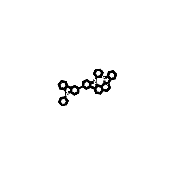 c1ccc(-n2c3ccccc3c3cc(-c4ccc5c(c4)c4ccc6ccc7c8ccccc8sc7c6c4n5-c4ccccc4)ccc32)cc1